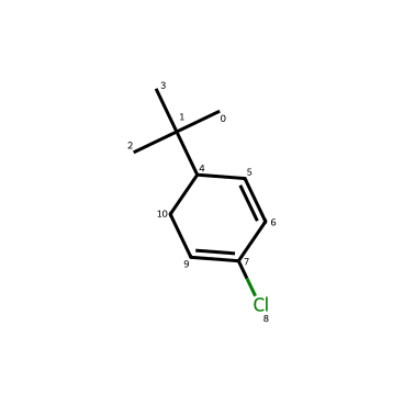 CC(C)(C)C1C=CC(Cl)=CC1